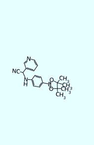 CC1(C)OB(c2ccc(NC(C#N)c3cccnc3)cc2)OC1(C)C